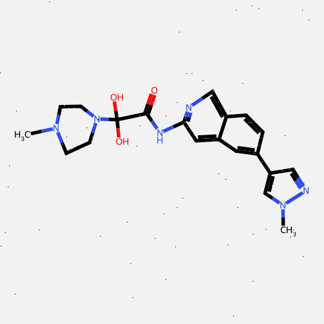 CN1CCN(C(O)(O)C(=O)Nc2cc3cc(-c4cnn(C)c4)ccc3cn2)CC1